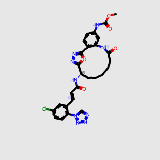 COC(=O)Nc1ccc2c(c1)NC(=O)CCCCC[C@H](NC(=O)/C=C/c1cc(Cl)ccc1-n1cnnn1)c1nnc-2o1